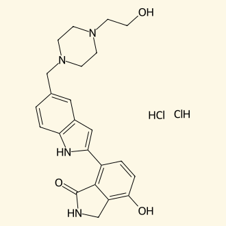 Cl.Cl.O=C1NCc2c(O)ccc(-c3cc4cc(CN5CCN(CCO)CC5)ccc4[nH]3)c21